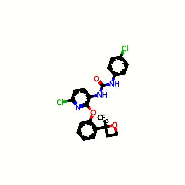 O=C(Nc1ccc(Cl)cc1)Nc1ccc(Cl)nc1Oc1ccccc1C1(C(F)(F)F)CCO1